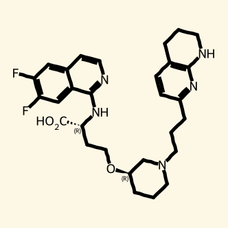 O=C(O)[C@@H](CCO[C@@H]1CCCN(CCCc2ccc3c(n2)NCCC3)C1)Nc1nccc2cc(F)c(F)cc12